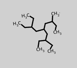 [CH2]C(CC)CC(CC(CC)CC)CC(CC)CC